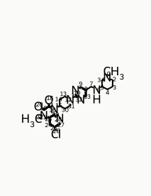 CN1CCCC(NCc2cnc(N3CCC(n4c(=O)c(=O)n(C)c5cc(Cl)cnc54)CC3)nc2)C1